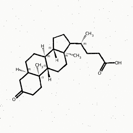 C[C@H](CCC(=O)O)C1CC[C@H]2[C@@H]3CC[C@@H]4CC(=O)CC[C@]4(C)[C@H]3CC[C@]12C